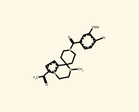 CCc1ccc(C(=O)N2CCC3(CC2)c2ccc(C(=O)C(F)(F)F)n2CCN3C)cc1OC